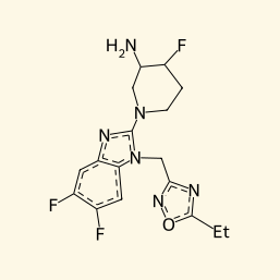 CCc1nc(Cn2c(N3CCC(F)C(N)C3)nc3cc(F)c(F)cc32)no1